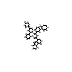 C1=Cc2oc3ccc(-c4nc(-c5ccccc5-c5cccc(-c6ccccc6)c5)nc(-c5cccc6c5oc5ccccc56)n4)cc3c2C=CC1